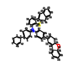 c1ccc(-c2ccc(N(c3ccc(-c4ccc5oc6ccccc6c5c4)cc3)c3cccc4c3sc3cc5ccccc5cc34)cc2)cc1